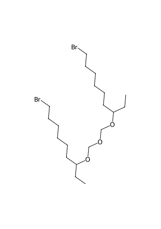 CCC(CCCCCCBr)OCOCOC(CC)CCCCCCBr